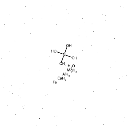 O.O[Si](O)(O)O.[AlH3].[CaH2].[Fe].[MgH2]